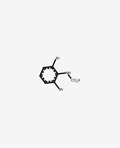 CC(C)c1cccc(C(C)C)c1NC(=O)O